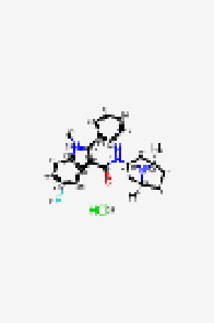 CN1[C@@H]2CC[C@H]1C[C@@H](NC(=O)c1c(-c3ccccc3)n(C)c3ccc(F)cc13)C2.Cl